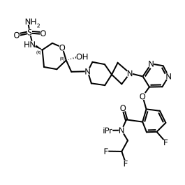 CC(C)N(CC(F)F)C(=O)c1cc(F)ccc1Oc1cncnc1N1CC2(CCN(C[C@@]3(O)CC[C@@H](NS(N)(=O)=O)CO3)CC2)C1